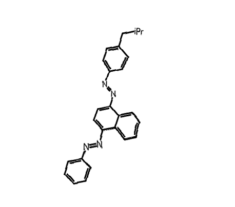 CC(C)Cc1ccc(N=Nc2ccc(N=Nc3ccccc3)c3ccccc23)cc1